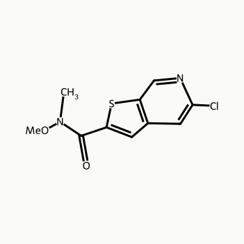 CON(C)C(=O)c1cc2cc(Cl)ncc2s1